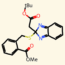 COC(=O)c1ccccc1CSC1(CC(=O)OC(C)(C)C)N=c2ccccc2=N1